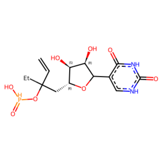 C=CC(CC)(C[C@H]1OC(c2c[nH]c(=O)[nH]c2=O)[C@H](O)[C@@H]1O)O[PH](=O)O